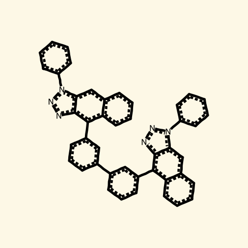 c1ccc(-n2nnc3c(-c4cccc(-c5cccc(-c6c7ccccc7cc7c6nnn7-c6ccccc6)c5)c4)c4ccccc4cc32)cc1